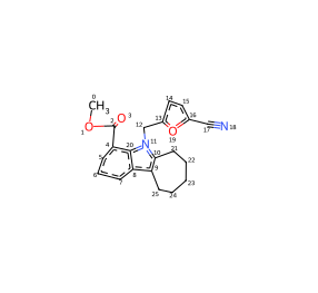 COC(=O)c1cccc2c3c(n(Cc4ccc(C#N)o4)c12)CCCCC3